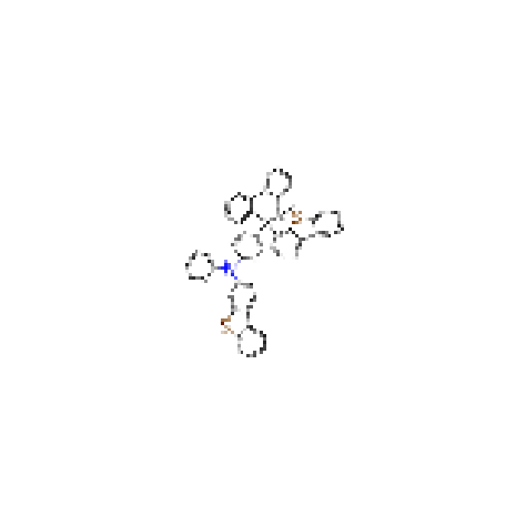 CC1(C)c2ccccc2-c2ccccc2C1(c1ccc(N(c2ccccc2)c2ccc3c(c2)sc2ccccc23)cc1)c1cccc2c1sc1ccccc12